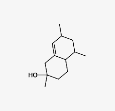 CC1C=C2CC(C)(O)CCC2C(C)C1